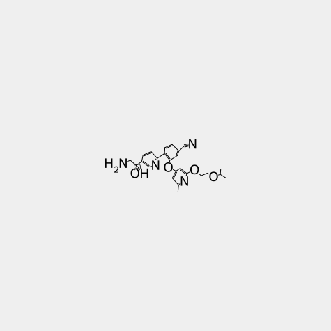 Cc1cc(Oc2cc(C#N)ccc2-c2ccc([C@H](O)CN)cn2)cc(OCCOC(C)C)n1